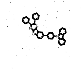 c1ccc(-c2nc3oc4ccc(-c5ccc(-n6c7ccccc7c7ccccc76)cc5)cc4c3nc2-c2ccccc2)cc1